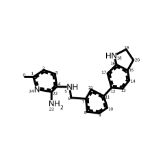 Cc1ccc(NCc2cccc(-c3ccc4c(c3)NCC4)c2)c(N)n1